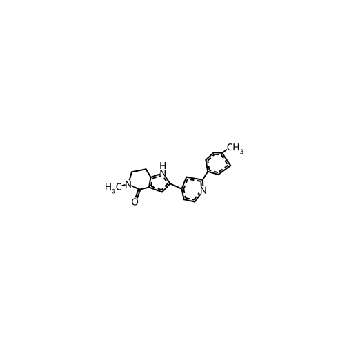 Cc1ccc(-c2cc(-c3cc4c([nH]3)CCN(C)C4=O)ccn2)cc1